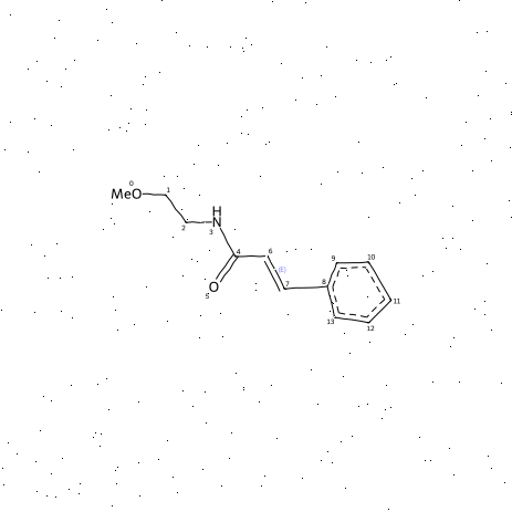 COCCNC(=O)/C=C/c1ccccc1